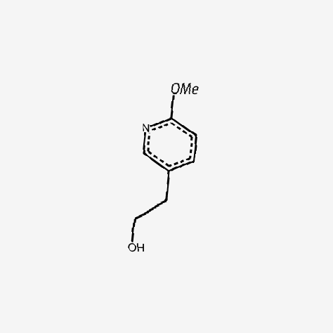 COc1ccc(CCO)cn1